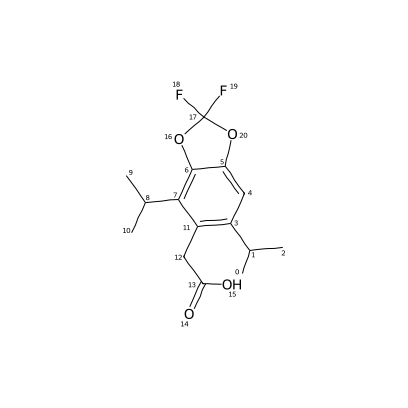 CC(C)c1cc2c(c(C(C)C)c1CC(=O)O)OC(F)(F)O2